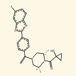 C=C(c1ccc(-c2nc3ccc(F)cc3o2)cc1)N1C[C@@H](C)N(C(=O)C2(O)CC2)[C@@H](C)C1